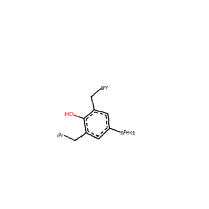 CCCCCc1cc(CC(C)C)c(O)c(CC(C)C)c1